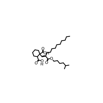 CCCCCCCCCCC(=CC1(C(=O)O)CCCCC1C(=O)O)C(=O)OCCCCC(C)C